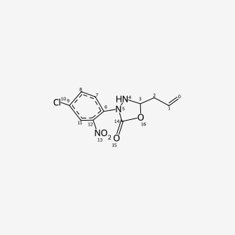 C=CCC1NN(c2ccc(Cl)cc2[N+](=O)[O-])C(=O)O1